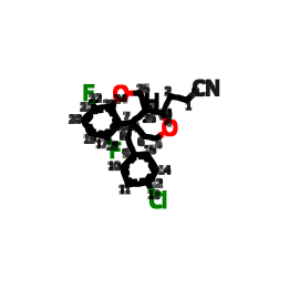 N#CCC[C@H]1OCC[C@]2(Cc3ccc(Cl)cc3)c3c(F)ccc(F)c3OC[C@H]12